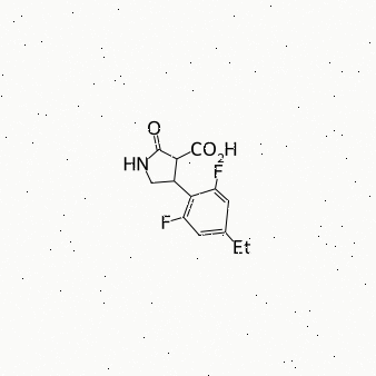 CCc1cc(F)c(C2CNC(=O)C2C(=O)O)c(F)c1